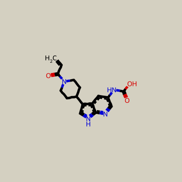 C=CC(=O)N1CCC(c2c[nH]c3ncc(NC(=O)O)cc23)CC1